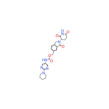 O=C1CCC(N2Cc3ccc(COC(=O)Nc4cnc(N5CCCCC5)nc4)cc3C2=O)C(=O)N1